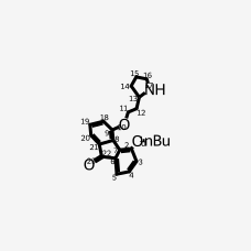 CCCCOc1cccc2c1-c1c(OCCC3CCCN3)cccc1C2=O